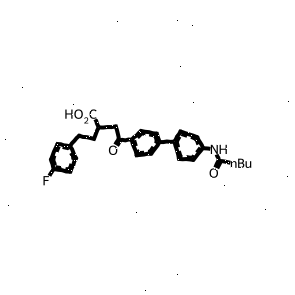 CCCCC(=O)Nc1ccc(-c2ccc(C(=O)CC(CCc3ccc(F)cc3)C(=O)O)cc2)cc1